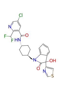 O=C(N[C@H]1CC[C@H](CN2C(=O)C(O)(c3cscn3)c3ccccc32)CC1)c1cc(Cl)cnc1C(F)F